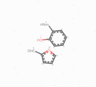 CCCCCCCCCc1ccccc1O.O=Cc1ccco1